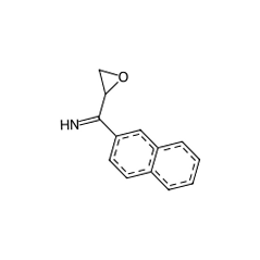 N=C(c1ccc2ccccc2c1)C1CO1